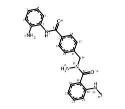 Nc1ccccc1NC(=O)c1ccc(CN(N)C(=O)c2ccccc2NI)cc1